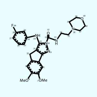 COc1cc2c(cc1OC)-c1nn(C(=O)NCCN3CCOCC3)c(Nc3cccc(F)c3)c1C2